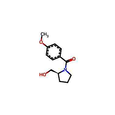 COc1ccc(C(=O)N2CCC[C@H]2CO)cc1